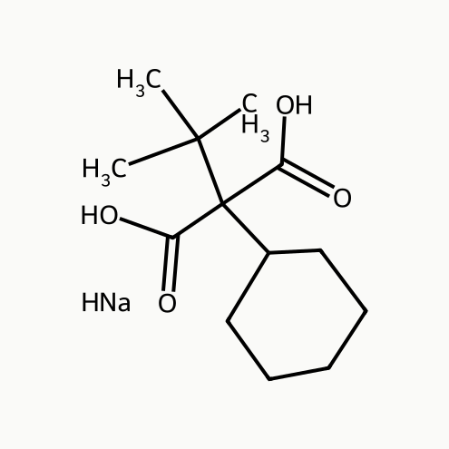 CC(C)(C)C(C(=O)O)(C(=O)O)C1CCCCC1.[NaH]